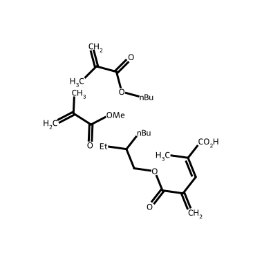 C=C(C)C(=O)OC.C=C(C)C(=O)OCCCC.C=C(C=C(C)C(=O)O)C(=O)OCC(CC)CCCC